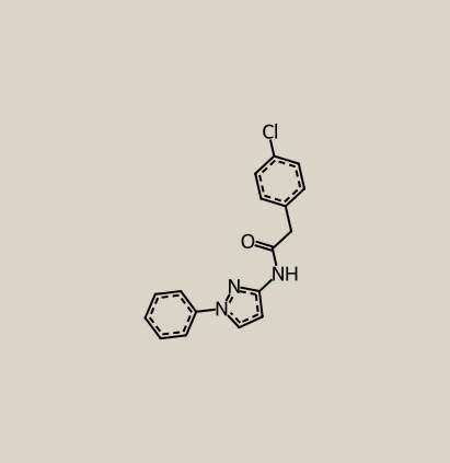 O=C(Cc1ccc(Cl)cc1)Nc1ccn(-c2ccccc2)n1